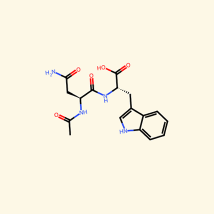 CC(=O)N[C@@H](CC(N)=O)C(=O)N[C@@H](Cc1c[nH]c2ccccc12)C(=O)O